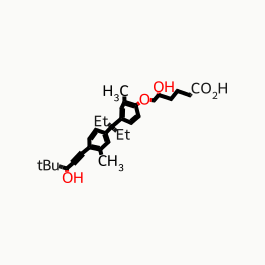 CCC(CC)(c1ccc(C#CC(O)C(C)(C)C)c(C)c1)c1ccc(OCC(O)CCCC(=O)O)c(C)c1